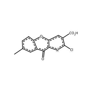 Cc1ccc2oc3cc(C(=O)O)c(Cl)nc3c(=O)c2c1